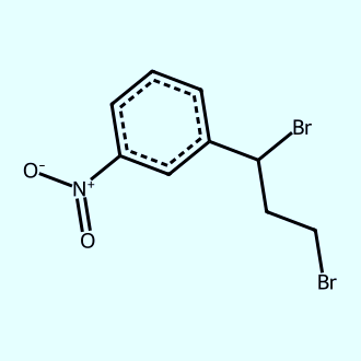 O=[N+]([O-])c1cccc(C(Br)CCBr)c1